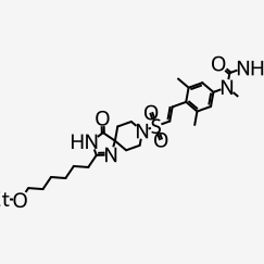 CCOCCCCCCC1=NC2(CCN(S(=O)(=O)C=Cc3c(C)cc(N(C)C(N)=O)cc3C)CC2)C(=O)N1